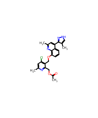 CC(=O)OCc1nc(C)cc(Cl)c1COc1cccc2c(-c3n[nH]cc3C)cc(C)nc12